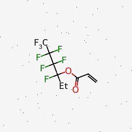 C=CC(=O)OC(F)(CC)C(F)(F)C(F)(F)C(F)(F)F